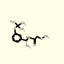 COCC(=O)N[C@H](C)c1cccc(OC(C)(C)C)c1